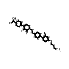 C=CCCOc1ccc(-c2ccc(CCC3CC=C(C4=CCC(C(C)O)CC4)C(F)=C3F)cc2)c(F)c1